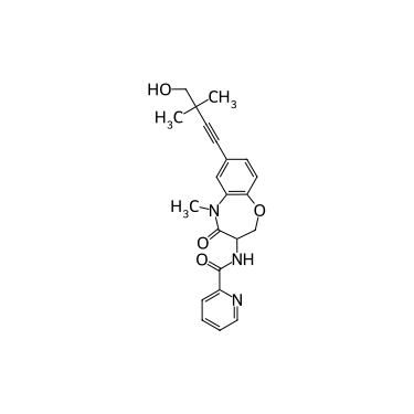 CN1C(=O)C(NC(=O)c2ccccn2)COc2ccc(C#CC(C)(C)CO)cc21